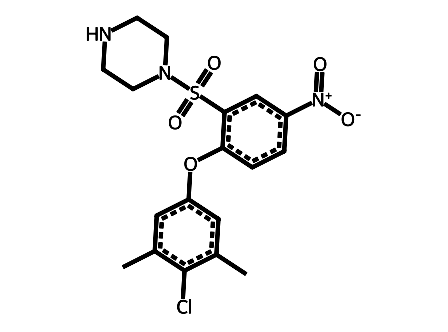 Cc1cc(Oc2ccc([N+](=O)[O-])cc2S(=O)(=O)N2CCNCC2)cc(C)c1Cl